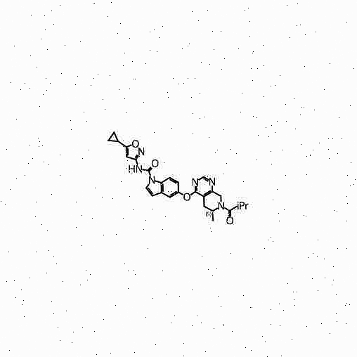 CC(C)C(=O)N1Cc2ncnc(Oc3ccc4c(ccn4C(=O)Nc4cc(C5CC5)on4)c3)c2C[C@@H]1C